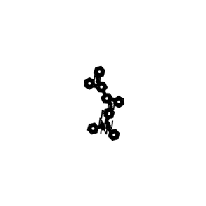 c1ccc(-c2nc(-c3ccccc3)nc(-c3ccc(-n4c5ccccc5c5cc(-c6ccc7c(c6)c6ccccc6n7-c6ccccc6)ccc54)cn3)n2)cc1